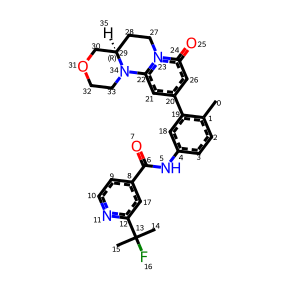 Cc1ccc(NC(=O)c2ccnc(C(C)(C)F)c2)cc1-c1cc2n(c(=O)c1)CC[C@@H]1COCCN21